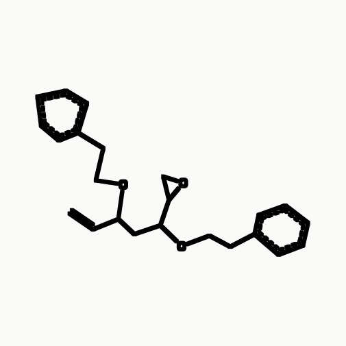 C=CC(CC(OCCc1ccccc1)C1CO1)OCCc1ccccc1